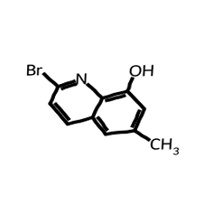 Cc1cc(O)c2nc(Br)ccc2c1